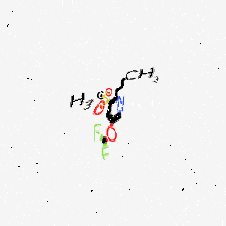 CCCCc1ncc(OC(F)F)cc1S(C)(=O)=O